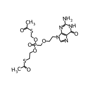 CC(=O)SCCOP(=O)(COCCn1cnc2c(=O)[nH]c(N)nc21)OCSC(C)=O